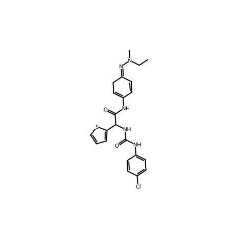 CCN(C)N=C1C=CC(NC(=O)C(NC(=O)Nc2ccc(Cl)cc2)c2cccs2)=CC1